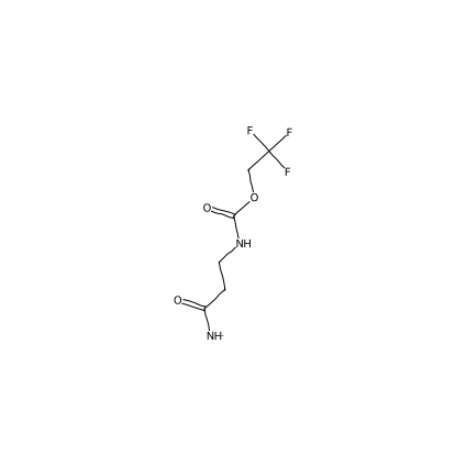 [NH]C(=O)CCNC(=O)OCC(F)(F)F